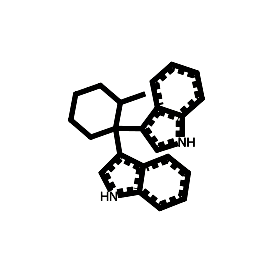 CC1CCCCC1(c1c[nH]c2ccccc12)c1c[nH]c2ccccc12